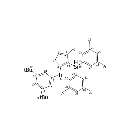 CC1=CC[C]([Ti][c]2cc(C(C)(C)C)cc(C(C)(C)C)c2)=C1[SiH](c1cc(C)cc(C)c1)c1cc(C)cc(C)c1